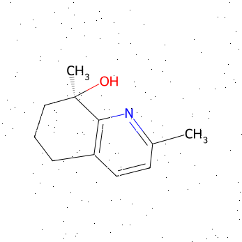 Cc1ccc2c(n1)[C@](C)(O)CCC2